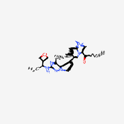 CNC(=O)c1cnc2ccc(-c3ccn4nc(N[C@@H](C)C5COC5)nc(OC)c34)cn12